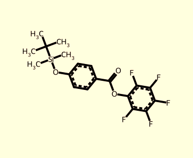 CC(C)(C)[Si](C)(C)Oc1ccc(C(=O)Oc2c(F)c(F)c(F)c(F)c2F)cc1